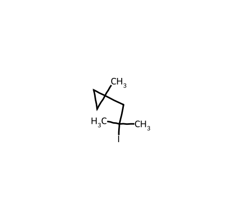 CC(C)(I)CC1(C)CC1